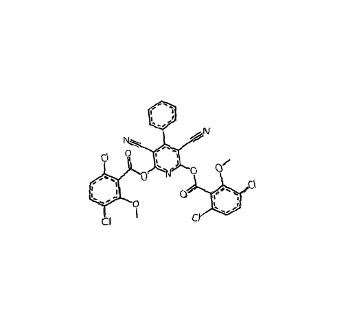 COc1c(Cl)ccc(Cl)c1C(=O)Oc1nc(OC(=O)c2c(Cl)ccc(Cl)c2OC)c(C#N)c(-c2ccccc2)c1C#N